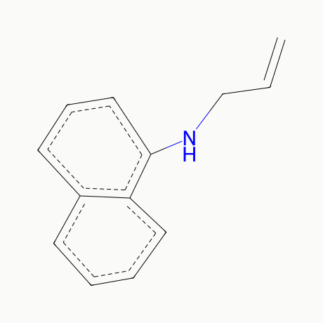 C=CCNc1cccc2ccccc12